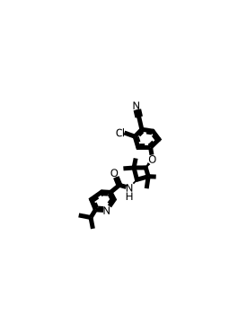 CC(C)c1ccc(C(=O)N[C@H]2C(C)(C)[C@H](Oc3ccc(C#N)c(Cl)c3)C2(C)C)cn1